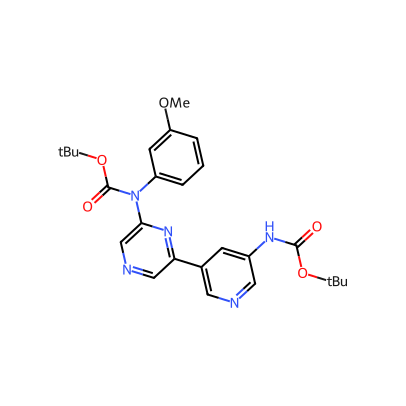 COc1cccc(N(C(=O)OC(C)(C)C)c2cncc(-c3cncc(NC(=O)OC(C)(C)C)c3)n2)c1